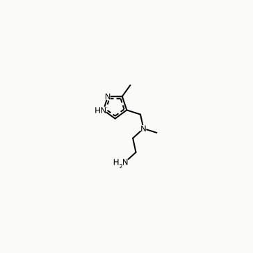 Cc1n[nH]cc1CN(C)CCN